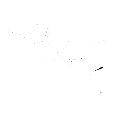 CC[C@H](C)[C@@H](CO)NS(=O)(=O)C1=CC=C(Br)S1(=O)=O